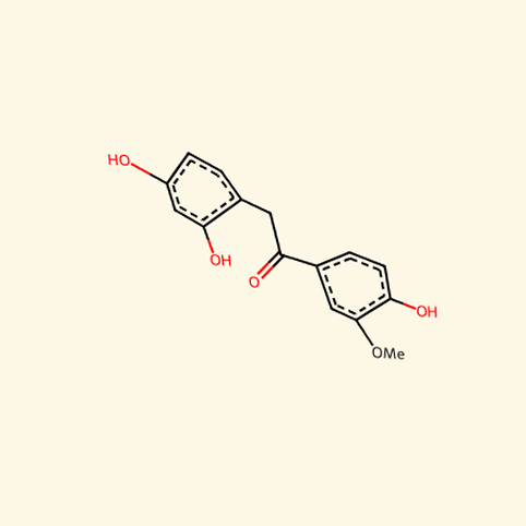 COc1cc(C(=O)Cc2ccc(O)cc2O)ccc1O